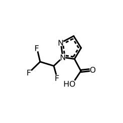 O=C(O)c1ccnn1C(F)C(F)F